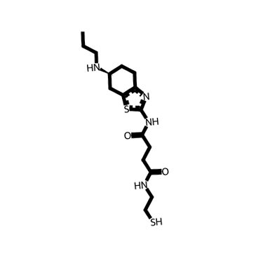 CCCN[C@H]1CCc2nc(NC(=O)CCC(=O)NCCS)sc2C1